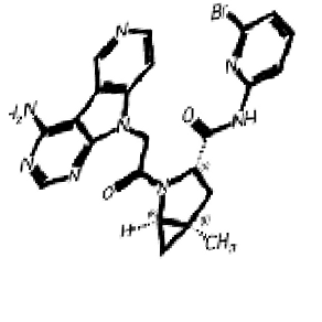 C[C@@]12C[C@@H](C(=O)Nc3cccc(Br)n3)N(C(=O)Cn3c4ccncc4c4c(N)ncnc43)[C@@H]1C2